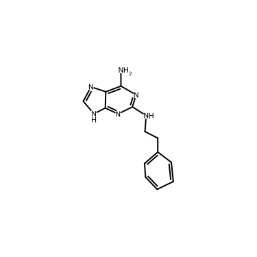 Nc1nc(NCCc2ccccc2)nc2[nH]cnc12